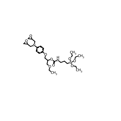 CCOCC(COc1ccc(N(CC2CO2)CC2CO2)cc1)OC(=O)NCCC[Si](OCC)(OCC)OCC